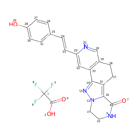 O=C(O)C(F)(F)F.O=C1NCCn2nc3c(c21)CCc1cnc(C=Cc2ccc(O)cc2)cc1-3